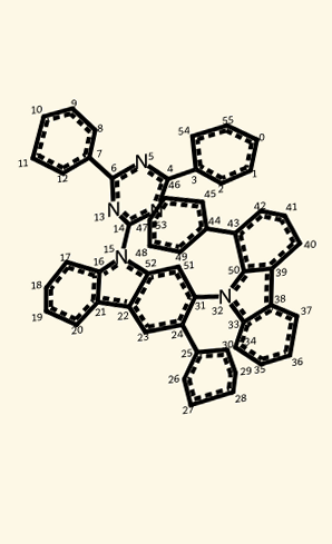 c1ccc(-c2nc(-c3ccccc3)nc(-n3c4ccccc4c4cc(-c5ccccc5)c(-n5c6ccccc6c6cccc(-c7ccccc7)c65)cc43)n2)cc1